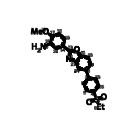 CCS(=O)(=O)c1ccc(-c2ccc3oc(-c4ccc(OC)c(N)c4)nc3c2)cc1